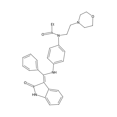 CCC(=O)N(CCN1CCOCC1)c1ccc(NC(=C2C(=O)Nc3ccccc32)c2ccccc2)cc1